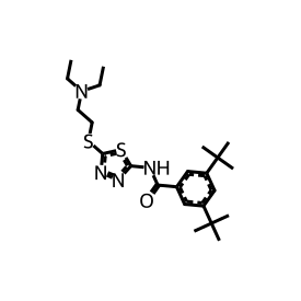 CCN(CC)CCSc1nnc(NC(=O)c2cc(C(C)(C)C)cc(C(C)(C)C)c2)s1